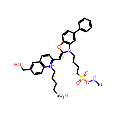 CCNOS(=O)(=O)CCCCN1/C(=C/c2ccc3cc(CO)ccc3[n+]2CCCCS(=O)(=O)O)Oc2ccc(-c3ccccc3)cc21